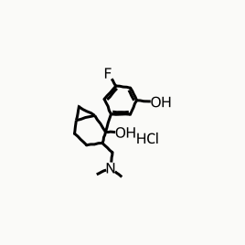 CN(C)CC1CCC2CC2C1(O)c1cc(O)cc(F)c1.Cl